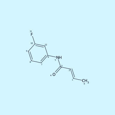 CC=CC(=O)Nc1cccc(F)c1